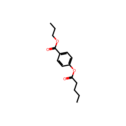 [CH2]CCCC(=O)Oc1ccc(C(=O)OCCC)cc1